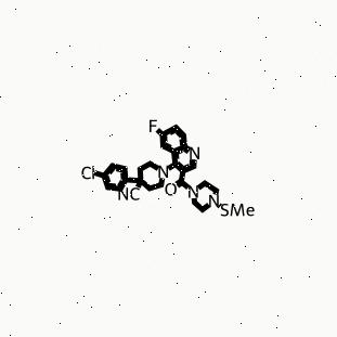 CSN1CCN(C(=O)c2cnc3ccc(F)cc3c2N2CCC(C#N)(c3ccc(Cl)cc3)CC2)CC1